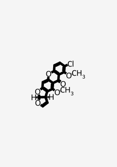 COc1c(Cl)ccc2oc3cc4c(c(OC)c3c(=O)c12)[C@@H]1C=CO[C@@H]1O4